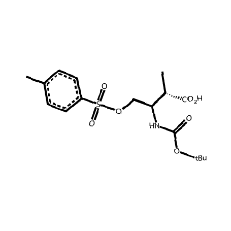 Cc1ccc(S(=O)(=O)OCC(NC(=O)OC(C)(C)C)[C@H](C)C(=O)O)cc1